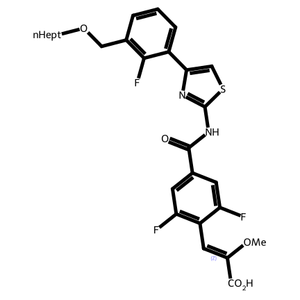 CCCCCCCOCc1cccc(-c2csc(NC(=O)c3cc(F)c(/C=C(\OC)C(=O)O)c(F)c3)n2)c1F